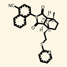 C[C@@]12CC[C@@](CCSc3ccccn3)(O1)[C@H]1C(=O)N(c3ccc(C#N)c4ccccc34)C(=O)[C@H]12